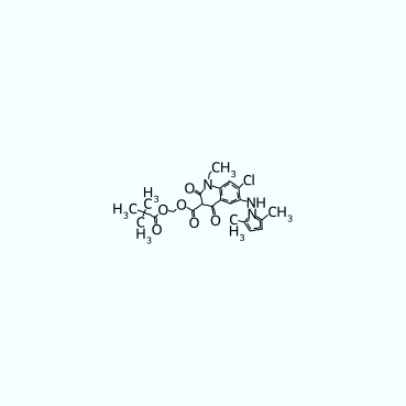 CCN1C(=O)C(C(=O)OCOC(=O)C(C)(C)C)C(=O)c2cc(Nn3c(C)ccc3C)c(Cl)cc21